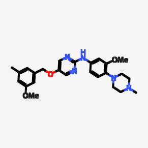 COc1cc(C)cc(COc2cnc(Nc3ccc(N4CCN(C)CC4)c(OC)c3)nc2)c1